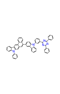 c1ccc(-c2nc(-c3ccccc3)nc(-c3cccc(-n4c5ccccc5c5cc(-c6cc7cc8c(cc7c7ccccc67)c6ccccc6n8-c6ccccc6)ccc54)c3)n2)cc1